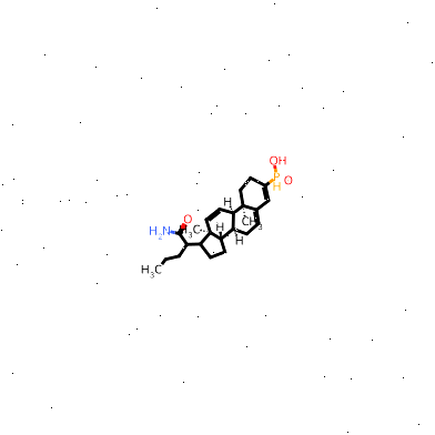 CCCC(C(N)=O)C1CC[C@H]2[C@@H]3CC=C4C=C([PH](=O)O)CC[C@]4(C)[C@@H]3C=C[C@]12C